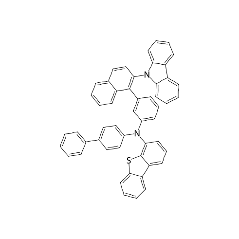 c1ccc(-c2ccc(N(c3cccc(-c4c(-n5c6ccccc6c6ccccc65)ccc5ccccc45)c3)c3cccc4c3sc3ccccc34)cc2)cc1